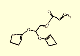 C=CC(=O)OCC(OC1=CCCC1)OC1=CCCC1